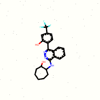 Oc1cc(C(F)(F)F)ccc1-c1nnc(NC2CCCCCC2O)c2ccccc12